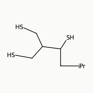 CC(C)CC(S)C(CS)CS